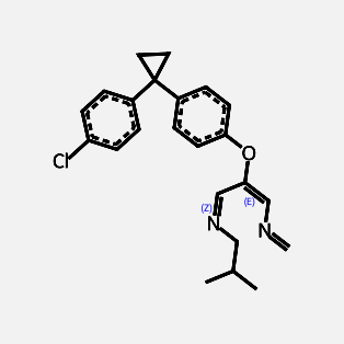 C=N/C=C(\C=N/CC(C)C)Oc1ccc(C2(c3ccc(Cl)cc3)CC2)cc1